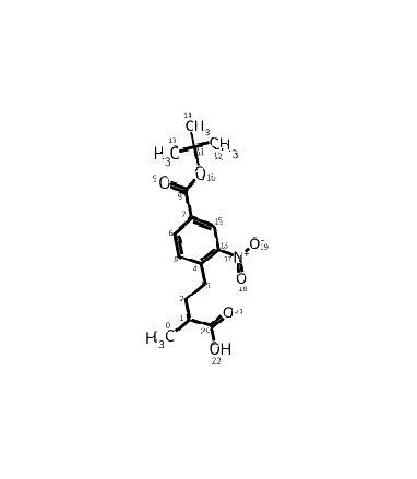 CC(CCc1ccc(C(=O)OC(C)(C)C)cc1[N+](=O)[O-])C(=O)O